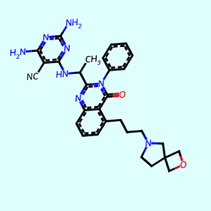 CC(Nc1nc(N)nc(N)c1C#N)c1nc2cccc(CCCN3CCC4(COC4)C3)c2c(=O)n1-c1ccccc1